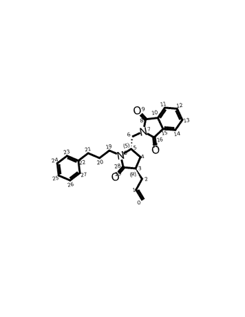 C=CC[C@@H]1C[C@@H](CN2C(=O)c3ccccc3C2=O)N(CCCc2ccccc2)C1=O